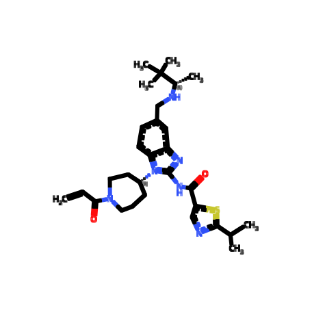 C=CC(=O)N1CCC[C@@H](n2c(NC(=O)c3cnc(C(C)C)s3)nc3cc(CN[C@@H](C)C(C)(C)C)ccc32)CC1